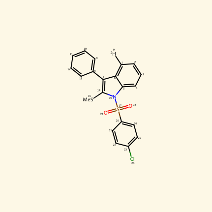 [2H]c1cccc2c1c(-c1ccccc1)c(SC)n2S(=O)(=O)c1ccc(Cl)cc1